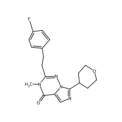 Cn1c(CCc2ccc(F)cc2)nn2c(C3CCOCC3)ncc2c1=O